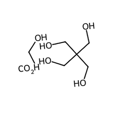 O=C(O)CO.OCC(CO)(CO)CO